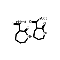 CCCCCCCC(=O)C1CCCCNC1=O.CCCCCCCCC(=O)C1CCCCNC1=O